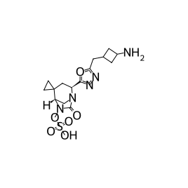 NC1CC(Cc2nnc([C@@H]3CC4(CC4)[C@@H]4CN3C(=O)N4OS(=O)(=O)O)o2)C1